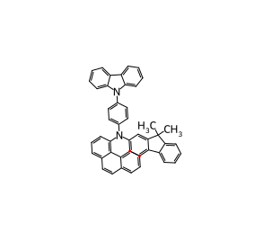 CC1(C)c2ccccc2-c2ccc(N(c3ccc(-n4c5ccccc5c5ccccc54)cc3)c3cccc4ccc5ccccc5c34)cc21